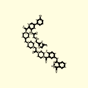 CCc1cccc(-c2cnc(C(=O)N3CCC(CN4CCN(CC(=O)N5CCN(C(=O)c6cc(Cc7n[nH]c(=O)c8ccccc78)ccc6F)CC5)CC4)CC3)c(NC(=O)CNCc3nc(C)co3)c2)c1